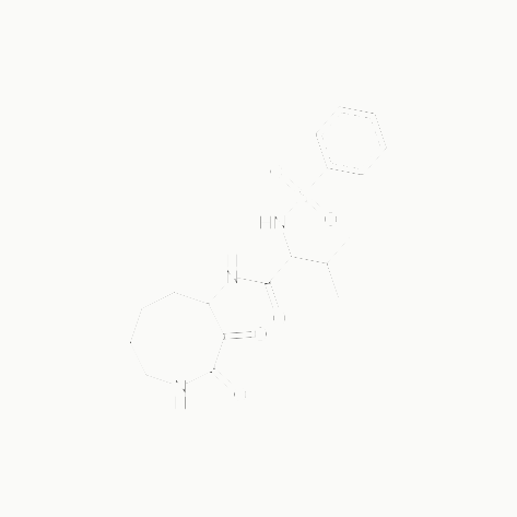 CC(C)C(NS(=O)(=O)c1ccccc1)C(=O)NC1CCCCNC(=O)C1=O